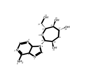 NC1=NC=NC2C1N=CN2[C@@H]1O[C@H](CO)[C@@H](O)[C@H](O)C[C@H]1O